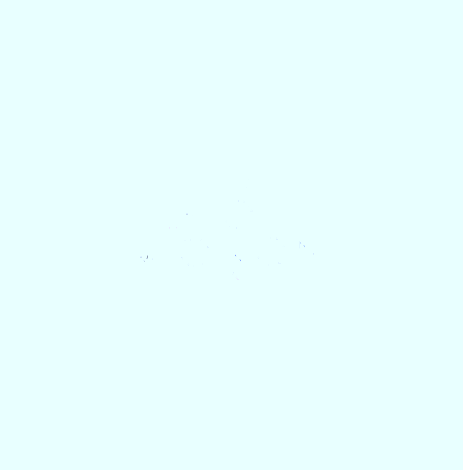 CCC(C)Oc1cc2c(cc1OC)CC(=O)N(c1ccc(N(C)C(C)=O)cc1)C2c1ccc(Cl)cc1